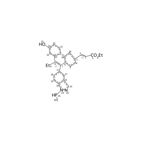 CCOC(=O)/C=C/c1ccc(/C(=C(/CC)c2cccc(O)c2)c2ccc3c(cnn3PI)c2)cc1